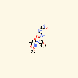 CC(C)(C)OC(=O)N[C@H](C(=O)N1CC2(CCCCO2)C[C@H]1C(=O)N[C@@H](C[C@@H]1CCNC1=O)C(N)=O)C(C)(C)C